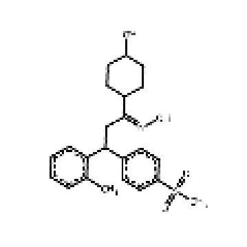 Cc1ccccc1C(CC(=NO)C1CCC(O)CC1)c1ccc(S(C)(=O)=O)cc1